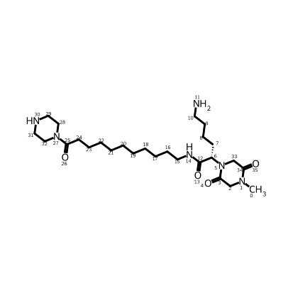 CN1CC(=O)N([C@@H](CCCCN)C(=O)NCCCCCCCCCCC(=O)N2CCNCC2)CC1=O